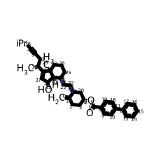 C=C1CC[C@@H](OC(=O)c2ccc(-c3ccccc3)cc2)C/C1=C/C=C1\CCC[C@]2(C)C([C@H](C)CC#CC(C)C)=CC(O)[C@@H]12